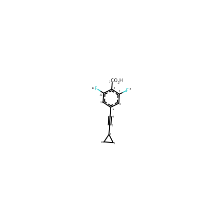 O=C(O)c1c(F)cc(C#CC2CC2)cc1F